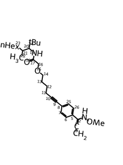 C=C=C(NOC)c1ccc(C#CCCCCOCC(=O)NC(C(C)CCCCCC)C(C)(C)C)cc1